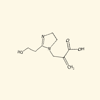 C=C(CN1CCN=C1CCO)C(=O)O